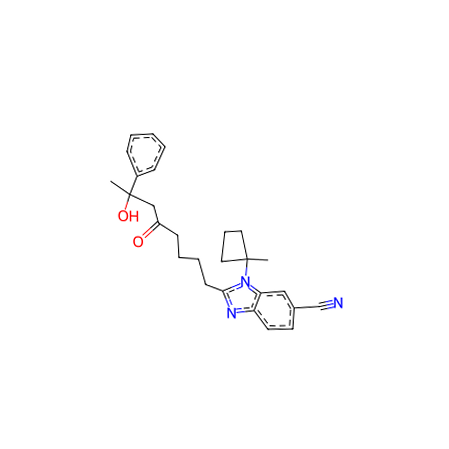 CC(O)(CC(=O)CCCCc1nc2ccc(C#N)cc2n1C1(C)CCC1)c1ccccc1